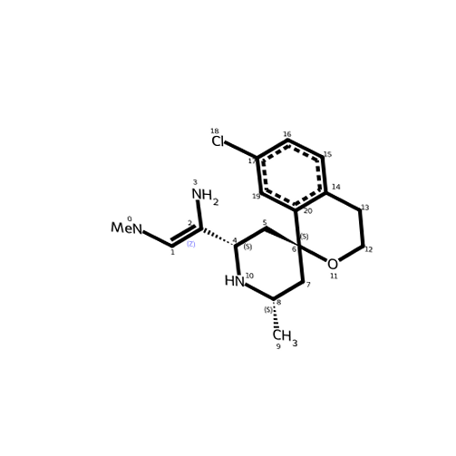 CN/C=C(\N)[C@@H]1C[C@]2(C[C@H](C)N1)OCCc1ccc(Cl)cc12